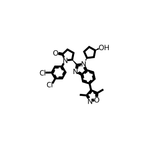 Cc1noc(C)c1-c1ccc2c(c1)nc([C@@H]1CCC(=O)N1c1ccc(Cl)c(Cl)c1)n2[C@@H]1CC[C@@H](O)C1